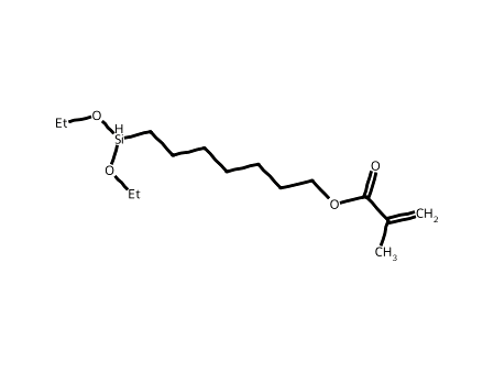 C=C(C)C(=O)OCCCCCCC[SiH](OCC)OCC